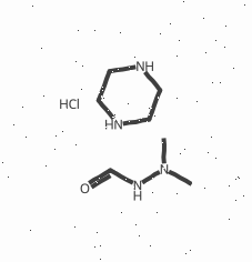 C1CNCCN1.CN(C)NC=O.Cl